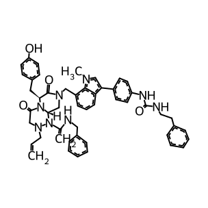 C=CCN1CC(=O)N2[C@@H](Cc3ccc(O)cc3)C(=O)N(Cc3cccc4c(-c5ccc(NC(=O)NCCc6ccccc6)cc5)cn(C)c34)C[C@@H]2N1C(=C)NCc1ccccc1